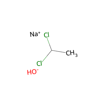 CC(Cl)Cl.[Na+].[OH-]